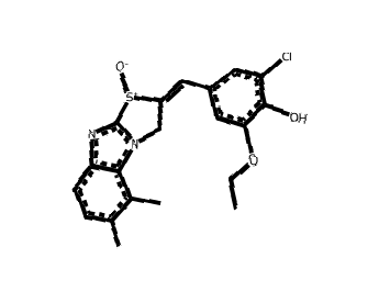 CCOc1cc(C=C2Cn3c(nc4ccc(C)c(C)c43)[S+]2[O-])cc(Cl)c1O